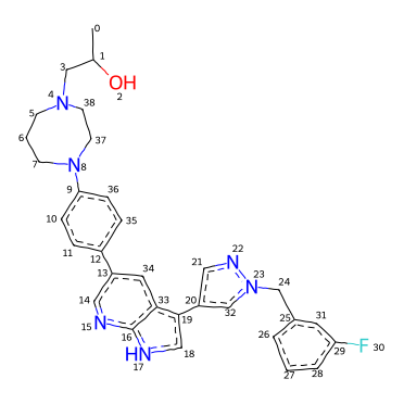 CC(O)CN1CCCN(c2ccc(-c3cnc4[nH]cc(-c5cnn(Cc6cccc(F)c6)c5)c4c3)cc2)CC1